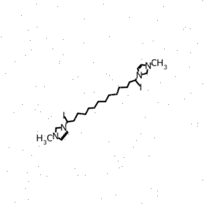 CN1C=CN(C(I)CCCCCCCCCCCCC(I)N2C=CN(C)C2)C1